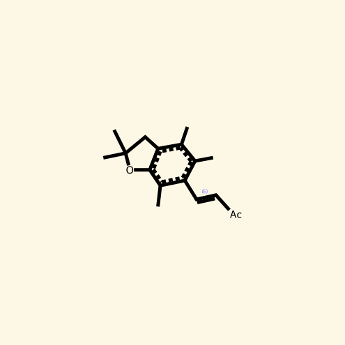 CC(=O)/C=C/c1c(C)c(C)c2c(c1C)OC(C)(C)C2